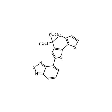 CCCCCCCCC1(CCCCCCCC)Oc2ccsc2-c2sc(-c3cccc4nsnc34)cc21